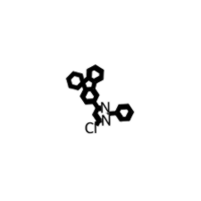 Clc1cc(-c2ccc3c(c2)-c2ccccc2C32CCCCC2)nc(-c2ccccc2)n1